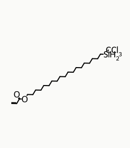 C=CC(=O)OCCCCCCCCCCCCCCCCCCC[SiH2]C(Cl)(Cl)Cl